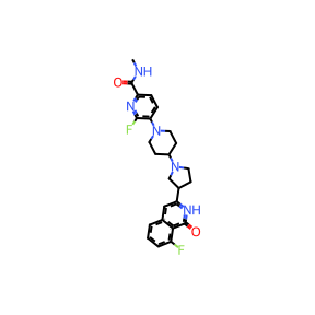 CNC(=O)c1ccc(N2CCC(N3CCC(c4cc5cccc(F)c5c(=O)[nH]4)C3)CC2)c(F)n1